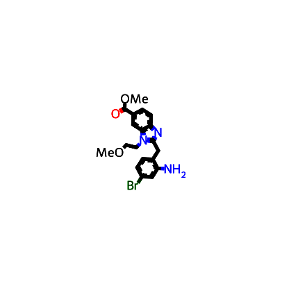 COCCn1c(Cc2ccc(Br)cc2N)nc2ccc(C(=O)OC)cc21